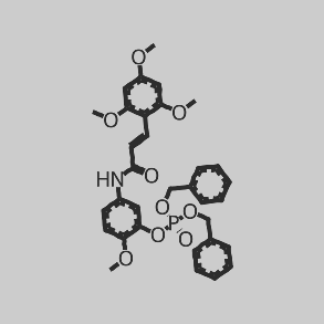 COc1cc(OC)c(/C=C/C(=O)Nc2ccc(OC)c(OP(=O)(OCc3ccccc3)OCc3ccccc3)c2)c(OC)c1